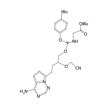 CC(C)COC(=O)CNP(OCC(CCc1ccc2c(N)ncnn12)OCC#N)Oc1ccc(C(C)(C)C)cc1